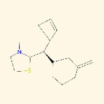 C=C1CCCC([C@H](C2C=CC2)C2SCCN2C)C1